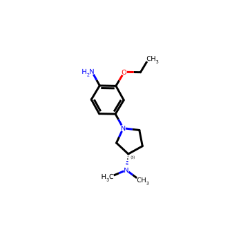 CCOc1cc(N2CC[C@H](N(C)C)C2)ccc1N